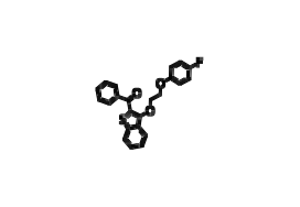 O=C(c1ccccc1)c1sc2ccccc2c1OCCOc1ccc(F)cc1